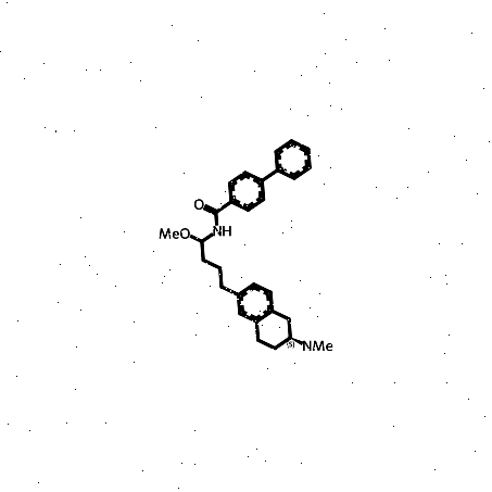 CN[C@H]1CCc2cc(CCCC(NC(=O)c3ccc(-c4ccccc4)cc3)OC)ccc2C1